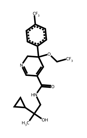 CC(O)(CNC(=O)C1=CC(OCC(F)(F)F)(c2ccc(C(F)(F)F)cc2)CN=C1)C1CC1